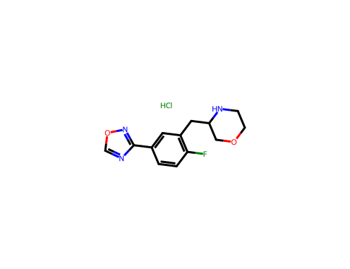 Cl.Fc1ccc(-c2ncon2)cc1CC1COCCN1